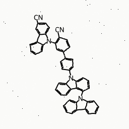 N#Cc1ccc2c(c1)c1ccccc1n2-c1cc(-c2ccc(-n3c4ccccc4c4c(-n5c6ccccc6c6ccccc65)cccc43)cc2)ccc1C#N